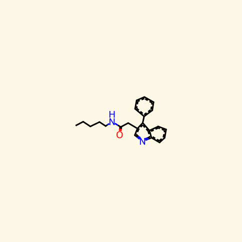 CCCCCNC(=O)Cc1cnc2ccccc2c1-c1ccccc1